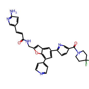 Nc1ccc(C=CC(=O)NCc2cc3cc(-c4ccc(C(=O)N5CCC(F)(F)CC5)cn4)cc(-c4ccncc4)c3o2)cn1